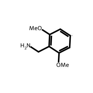 COc1c[c]cc(OC)c1CN